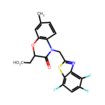 Cc1ccc2c(c1)OC(CC(=O)O)C(=O)N2Cc1nc2c(F)c(F)cc(F)c2s1